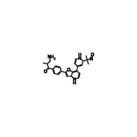 CC(CN)C(=O)c1ccc(C2=CC3NC=CC(C4=CC(C(C)(C)N=O)NC=C4)=C3O2)cc1